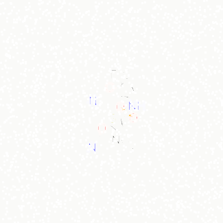 CN1CCC(Oc2sc(S(=O)(=O)Nc3ccc(C(F)(F)F)c(O[C@@H]4CCN(C)C4)c3)cc2[N+](=O)[O-])C1